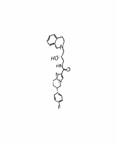 O=C(NC[C@H](O)CN1CCc2ccccc2C1)c1cn2c(n1)CCC(c1ccc(F)cc1)C2